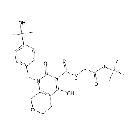 CC(C)(C)OC(=O)CNC(=O)c1c(O)c2c(n(Cc3ccc(C(C)(C)O)cc3)c1=O)COCC2